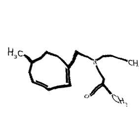 CCN(CC1=CC=CC(C)C1)C(C)=O